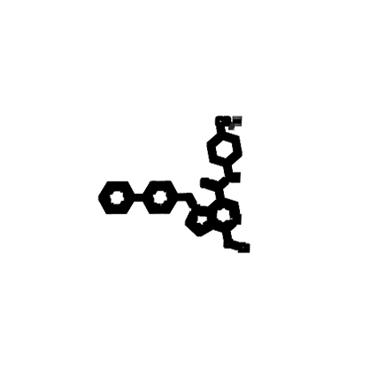 CCOc1ncc(C(=O)NC2CCC(C(=O)O)CC2)c2c1ccn2Cc1ccc(-c2ccccc2)cc1